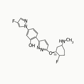 CNC1CCC(F)[C@@H](Oc2ccc(-c3ccc(-n4cc(F)cn4)cc3O)nn2)C1